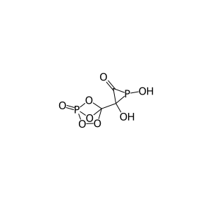 O=C1P(O)C1(O)C12OOP(=O)(O1)O2